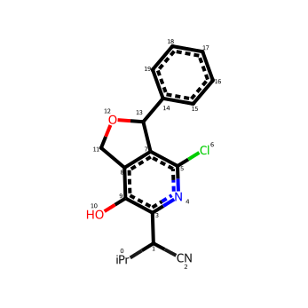 CC(C)C(C#N)c1nc(Cl)c2c(c1O)COC2c1ccccc1